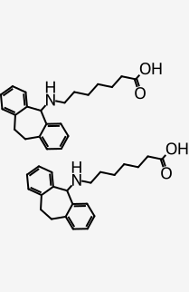 O=C(O)CCCCCCNC1c2ccccc2CCc2ccccc21.O=C(O)CCCCCCNC1c2ccccc2CCc2ccccc21